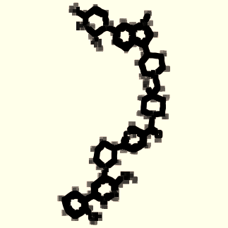 [2H]C1C=CN(c2ccc3c(C4CCN(CC5(F)CCN(C(=O)c6ccc(C7CCCN(c8cc(-c9ccccc9O)nnc8N)C7)cc6)CC5)CC4)cn(C)c3c2)[C@H]([2H])N1